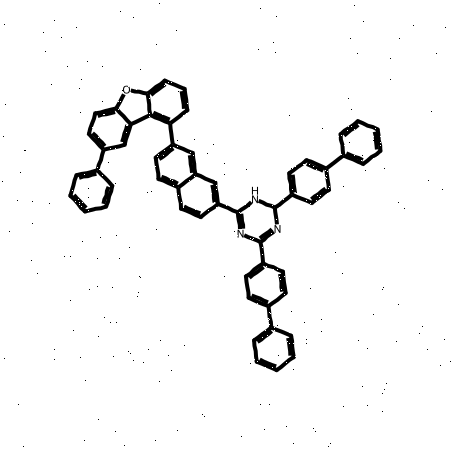 c1ccc(-c2ccc(C3=NC(c4ccc(-c5ccccc5)cc4)NC(c4ccc5ccc(-c6cccc7oc8ccc(-c9ccccc9)cc8c67)cc5c4)=N3)cc2)cc1